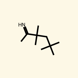 CC(=N)C(C)(C)CC(C)(C)C